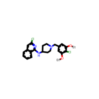 CCOc1cc(CN2CCC(Nc3nc(Cl)cc4ccccc34)CC2)cc(OCC)c1Cl